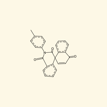 Cc1ccc(N2C(=O)c3ccccc3C3(C=CC(=O)c4ccccc43)C2=O)cc1